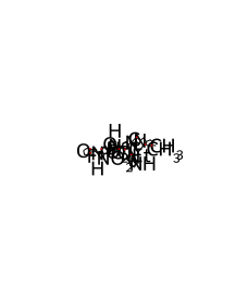 C=C(CC)CCC1=C(CN2CCN(c3ccc(C(=O)NS(=O)(=O)c4ccc(NCC5(F)CCOCC5)c([N+](=O)[O-])c4)c(Oc4cnc5[nH]ccc5c4)c3)CC2)CCC(C)(C)C1